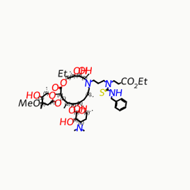 CCOC(=O)CCN(CCCN1C[C@H](C)C[C@@](C)(O)[C@H](O[C@@H]2O[C@H](C)C[C@H](N(C)C)[C@H]2O)[C@@H](C)[C@H](O[C@H]2C[C@@](C)(OC)[C@@H](O)[C@H](C)O2)[C@@H](C)C(=O)O[C@H](CC)[C@@](C)(O)[C@H](O)[C@H]1C)C(=S)NCc1ccccc1